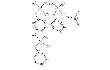 C[P+](C)(C)Cc1ccccc1.C[P+](C)(C)Cc1ccccc1.C[P+](C)(C)Cc1ccccc1.[O-]B([O-])[O-]